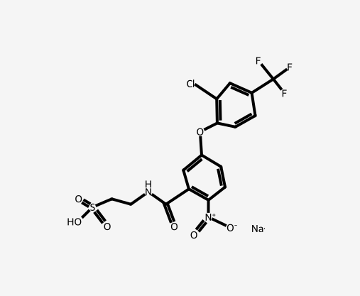 O=C(NCCS(=O)(=O)O)c1cc(Oc2ccc(C(F)(F)F)cc2Cl)ccc1[N+](=O)[O-].[Na]